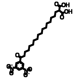 O=C(CCCCCCCCCCCCCCCCC(C(=O)O)C(=O)O)c1cc([N+](=O)[O-])cc([N+](=O)[O-])c1